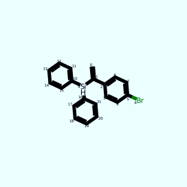 C=C(c1ccc(Br)cc1)[SiH](c1ccccc1)c1ccccc1